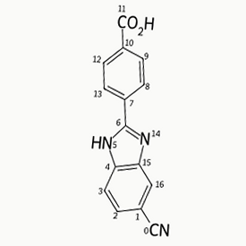 N#Cc1ccc2[nH]c(-c3ccc(C(=O)O)cc3)nc2c1